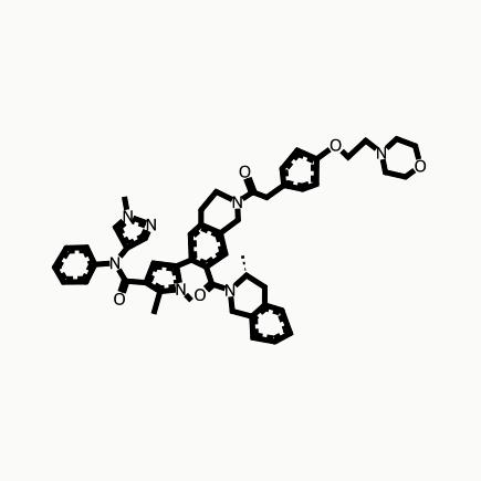 Cc1c(C(=O)N(c2ccccc2)c2cnn(C)c2)cc(-c2cc3c(cc2C(=O)N2Cc4ccccc4C[C@H]2C)CN(C(=O)Cc2ccc(OCCN4CCOCC4)cc2)CC3)n1C